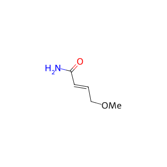 COCC=CC(N)=O